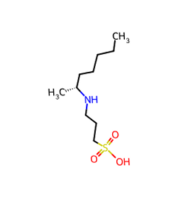 CCCCC[C@@H](C)NCCCS(=O)(=O)O